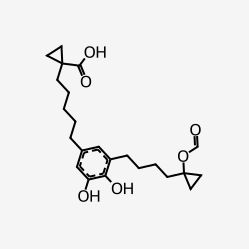 O=COC1(CCCCc2cc(CCCCCC3(C(=O)O)CC3)cc(O)c2O)CC1